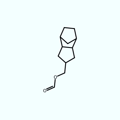 O=COCC1CC2C3CCC(C3)C2C1